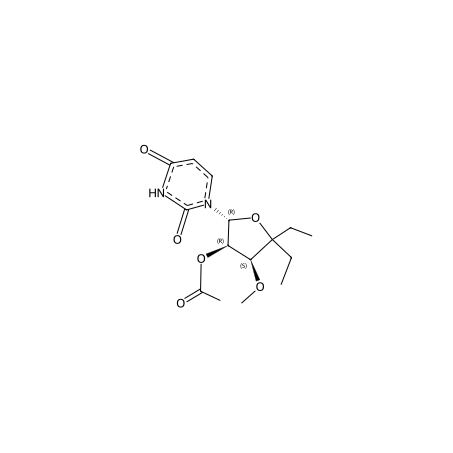 CCC1(CC)O[C@@H](n2ccc(=O)[nH]c2=O)[C@H](OC(C)=O)[C@@H]1OC